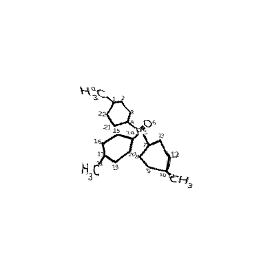 CC1CCC(P(=O)(C2CCC(C)CC2)C2CCC(C)CC2)CC1